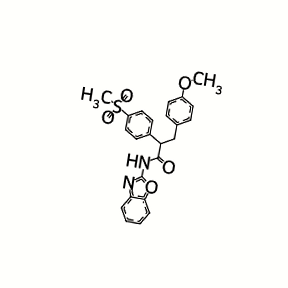 COc1ccc(CC(C(=O)Nc2nc3ccccc3o2)c2ccc(S(C)(=O)=O)cc2)cc1